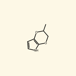 CC1COc2[nH]ccc2O1